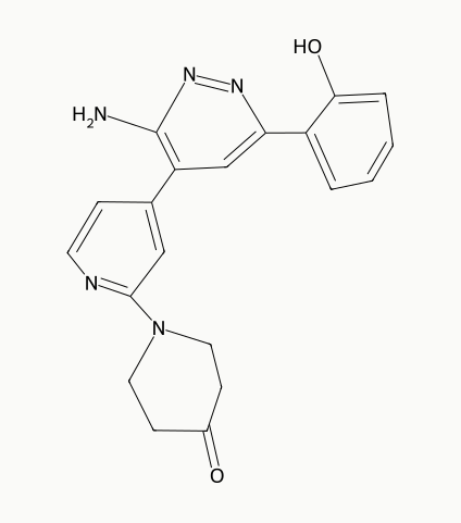 Nc1nnc(-c2ccccc2O)cc1-c1ccnc(N2CCC(=O)CC2)c1